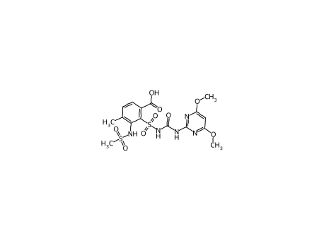 COc1cc(OC)nc(NC(=O)NS(=O)(=O)c2c(C(=O)O)ccc(C)c2NS(C)(=O)=O)n1